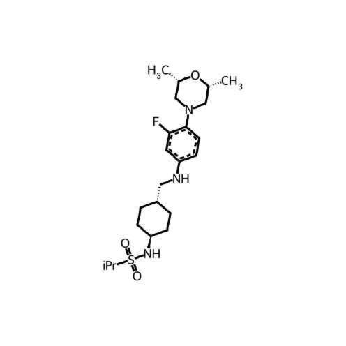 CC(C)S(=O)(=O)N[C@H]1CC[C@H](CNc2ccc(N3C[C@@H](C)O[C@@H](C)C3)c(F)c2)CC1